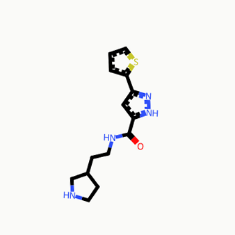 O=C(NCCC1CCNC1)c1cc(-c2cccs2)n[nH]1